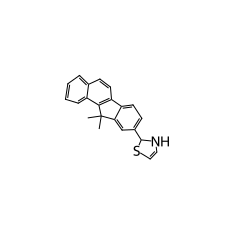 CC1(C)c2cc(C3NC=CS3)ccc2-c2ccc3ccccc3c21